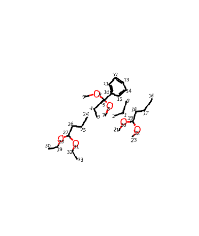 CCC.CCC(OC)(OC)c1ccccc1.CCCC(OC)OC.CCCC(OCC)OCC